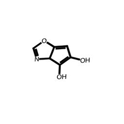 OC1=C(O)C2N=COC2=C1